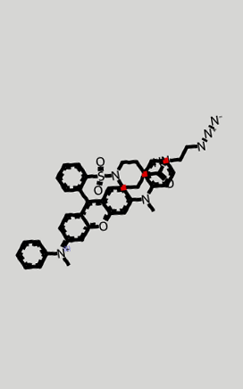 CN(c1ccccc1)c1ccc2c(-c3ccccc3S(=O)(=O)N3CCC(C(=O)NCCN=[N+]=[N-])CC3)c3cc/c(=[N+](/C)c4ccccc4)cc-3oc2c1